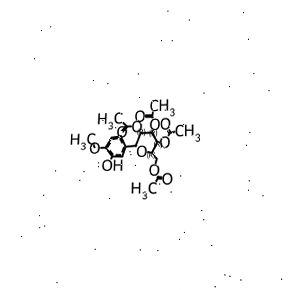 COc1ccc(C2O[C@H](COC(C)=O)[C@@H](OC(C)=O)[C@H](OC(C)=O)[C@@H]2OC(C)=O)cc1O